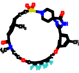 Cc1cc2ccc1CCS(=O)(=O)N1CCC3(CC1)N=C(NC3=O)c1cc(cc(C(F)(F)F)c1)OCC(F)(F)C(F)(F)C(F)(F)COCCN(C)C2=O